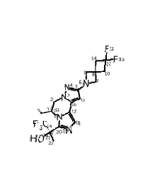 C[C@H]1Cn2nc(N3CC4(C3)CC(F)(F)C4)cc2-c2cnc([C@@](C)(O)C(F)(F)F)n21